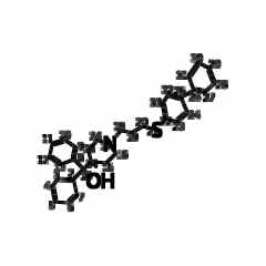 OC(c1ccccc1)(c1ccccc1)C1CCN(CCCSc2ccc(-c3ccccc3)cc2)CC1